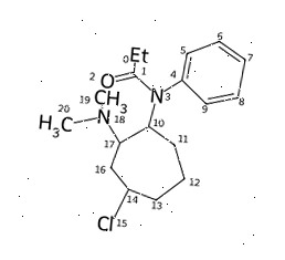 CCC(=O)N(c1ccccc1)C1CCCC(Cl)CC1N(C)C